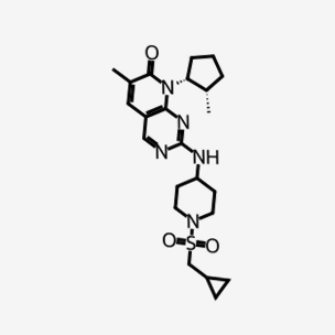 Cc1cc2cnc(NC3CCN(S(=O)(=O)CC4CC4)CC3)nc2n([C@@H]2CCC[C@@H]2C)c1=O